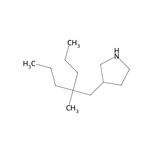 CCCC(C)(CCC)CC1CCNC1